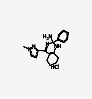 Cl.Cn1ccc(C2=NC(N)(c3ccccc3)NC3=C2CCCC3)n1